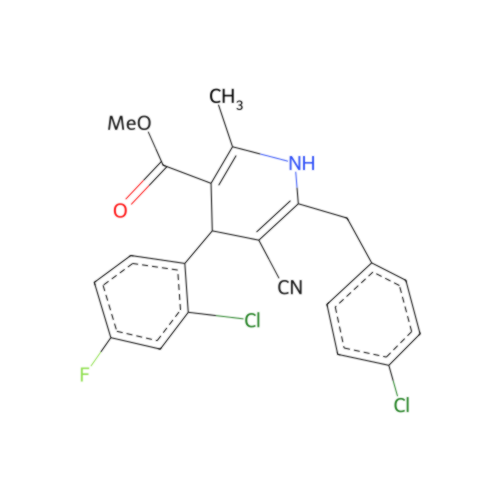 COC(=O)C1=C(C)NC(Cc2ccc(Cl)cc2)=C(C#N)C1c1ccc(F)cc1Cl